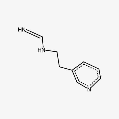 N=CNCCc1cccnc1